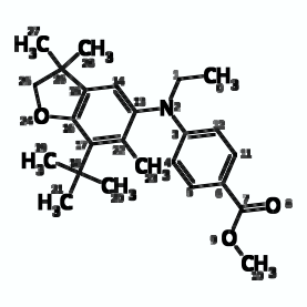 CCN(c1ccc(C(=O)OC)cc1)c1cc2c(c(C(C)(C)C)c1C)OCC2(C)C